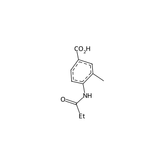 CCC(=O)Nc1ccc(C(=O)O)cc1C